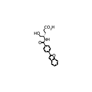 O=C(O)CC[C@@H](CO)NC(=O)c1ccc(-c2cc3ccccc3o2)cc1